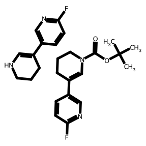 CC(C)(C)OC(=O)N1C=C(c2ccc(F)nc2)CCC1.Fc1ccc(C2=CNCCC2)cn1